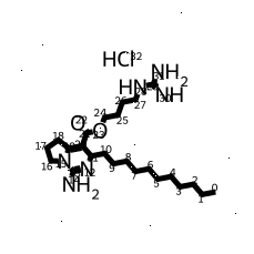 CCCCCCCCCCCC1N=C(N)N2CCCC2=C1C(=O)OCCCCNC(=N)N.Cl